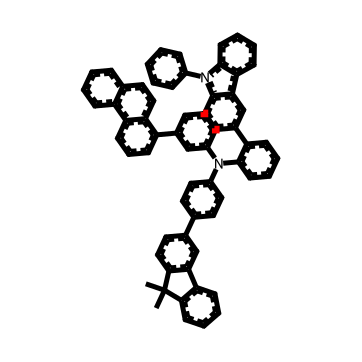 CC1(C)c2ccccc2-c2cc(-c3ccc(N(c4cccc(-c5cccc6c5ccc5ccccc56)c4)c4ccccc4-c4ccc5c(c4)c4ccccc4n5-c4ccccc4)cc3)ccc21